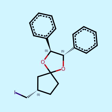 IC[C@H]1CCC2(C1)O[C@@H](c1ccccc1)[C@H](c1ccccc1)O2